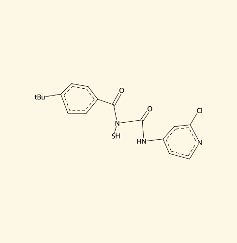 CC(C)(C)c1ccc(C(=O)N(S)C(=O)Nc2ccnc(Cl)c2)cc1